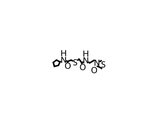 O=C(CSCC(=O)NC1CCCC1)NCCN1CSCC1=O